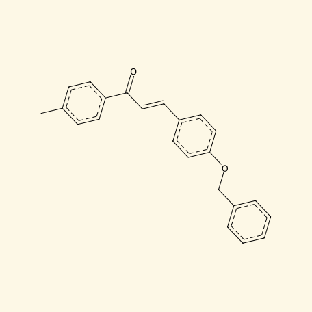 Cc1ccc(C(=O)C=Cc2ccc(OCc3ccccc3)cc2)cc1